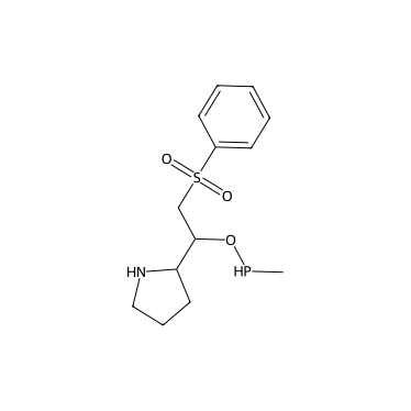 CPOC(CS(=O)(=O)c1ccccc1)C1CCCN1